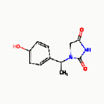 CC(c1ccc(O)cc1)N1CC(=O)NC1=O